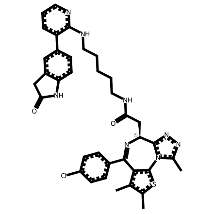 Cc1sc2c(c1C)C(c1ccc(Cl)cc1)=N[C@@H](CC(=O)NCCCCCNc1ncccc1-c1ccc3c(c1)CC(=O)N3)c1nnc(C)n1-2